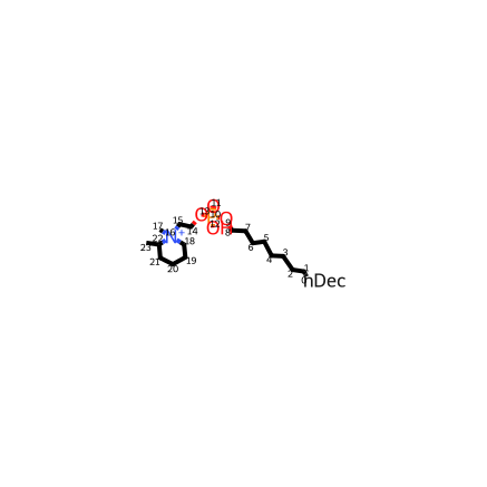 CCCCCCCCCCCCCCCCCCOP(=O)(O)OCC[N+]1(C)CCCCC1C